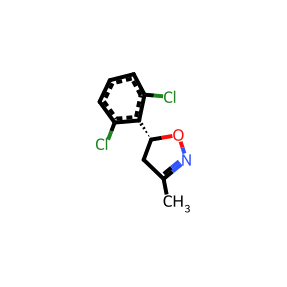 CC1=NO[C@@H](c2c(Cl)cccc2Cl)C1